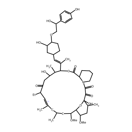 CCC1/C=C(\C)CC(C)CC(OC)C2OC(O)(C(=O)C(=O)N3CCCCC3C(=O)OC(C(C)=CC3CCC(OCC(O)c4ccc(O)cc4)C(O)C3)C(C)C(O)CC1=O)C(C)CC2OC